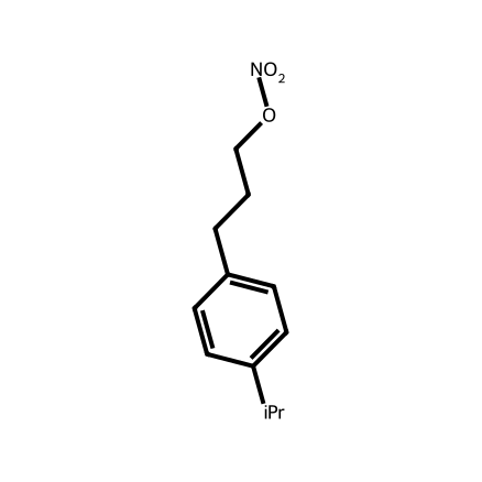 CC(C)c1ccc(CCCO[N+](=O)[O-])cc1